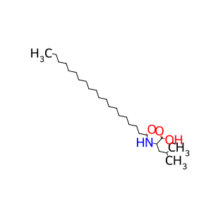 CCCCCCCCCCCCCCCCCCCC(=O)NC(CC(C)C)C(=O)O